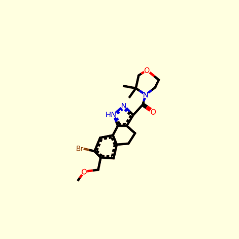 COCc1cc2c(cc1Br)-c1[nH]nc(C(=O)N3CCOCC3(C)C)c1CC2